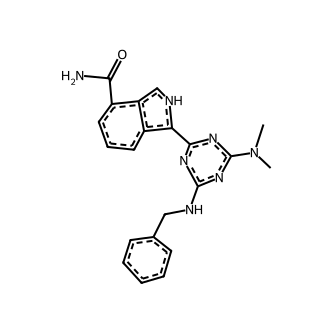 CN(C)c1nc(NCc2ccccc2)nc(-c2[nH]cc3c(C(N)=O)cccc23)n1